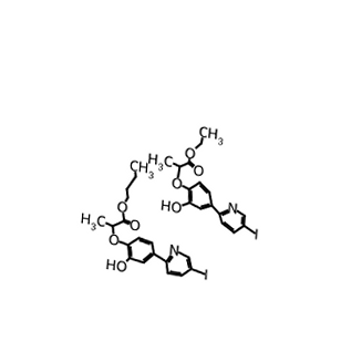 CCCCOC(=O)C(C)Oc1ccc(-c2ccc(I)cn2)cc1O.CCOC(=O)C(C)Oc1ccc(-c2ccc(I)cn2)cc1O